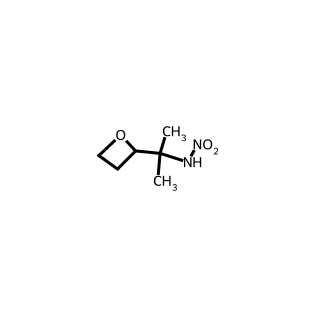 CC(C)(N[N+](=O)[O-])C1CCO1